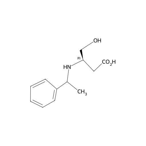 CC(N[C@@H](CO)CC(=O)O)c1ccccc1